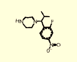 CC(C)C(c1ccc([N+](=O)[O-])cc1F)N1CCNCC1